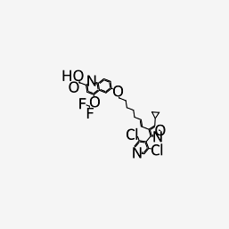 O=C(O)c1cc(OC(F)F)c2cc(OCCCCC/C=C/c3c(-c4c(Cl)cncc4Cl)noc3C3CC3)ccc2n1